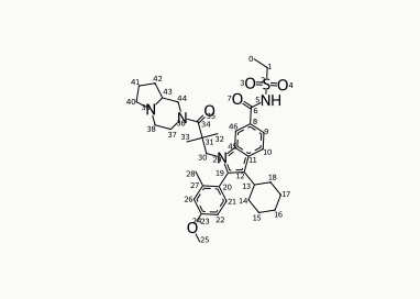 CCS(=O)(=O)NC(=O)c1ccc2c(C3CCCCC3)c(-c3ccc(OC)cc3C)n(CC(C)(C)C(=O)N3CCN4CCCC4C3)c2c1